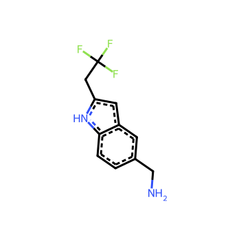 NCc1ccc2[nH]c(CC(F)(F)F)cc2c1